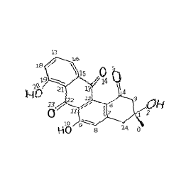 C[C@]1(O)CC(=O)c2c(cc(O)c3c2C(=O)c2cccc(O)c2C3=O)C1